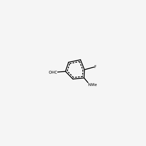 CNc1cc(C=O)ccc1F